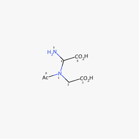 CC(=O)N(CC(=O)O)C(N)C(=O)O